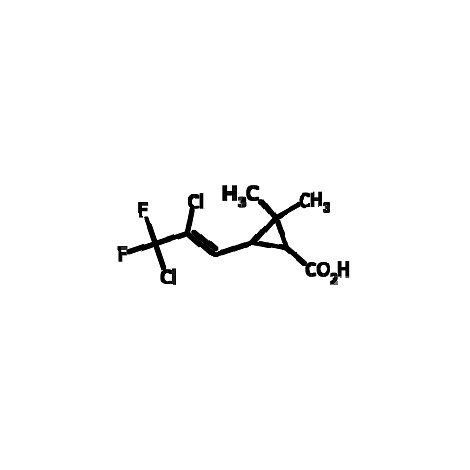 CC1(C)C(C=C(Cl)C(F)(F)Cl)C1C(=O)O